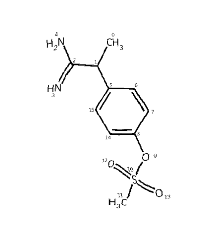 CC(C(=N)N)c1ccc(OS(C)(=O)=O)cc1